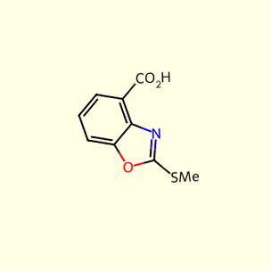 CSc1nc2c(C(=O)O)cccc2o1